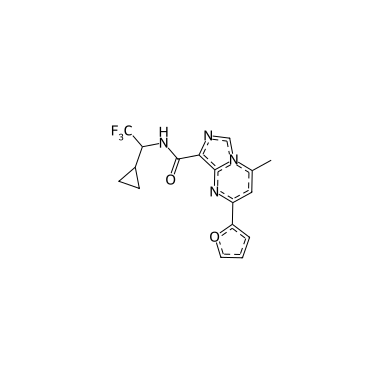 Cc1cc(-c2ccco2)nc2c(C(=O)NC(C3CC3)C(F)(F)F)ncn12